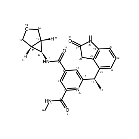 CNC(=O)c1cc(C(=O)N[C@H]2[C@@H]3COC[C@@H]32)cc([C@H](C)c2cccc3c2CC(=O)N3)n1